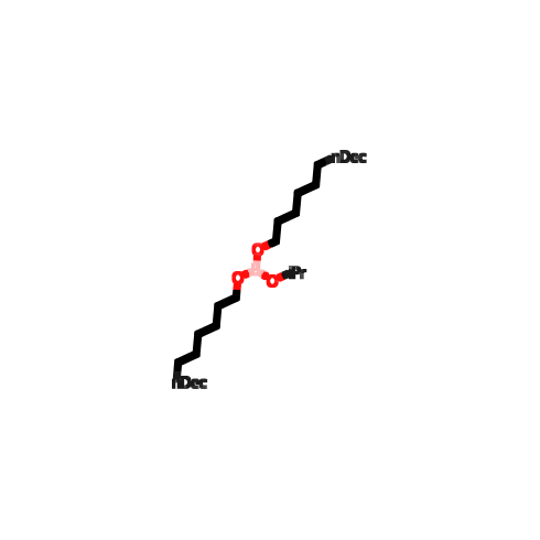 CCCCCCCCCCCCCCCCOB(OCCCCCCCCCCCCCCCC)OC(C)C